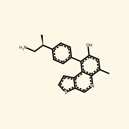 Cc1cc(O)c(-c2ccc([C@H](C)CN)cc2)c2c1ncc1sccc12